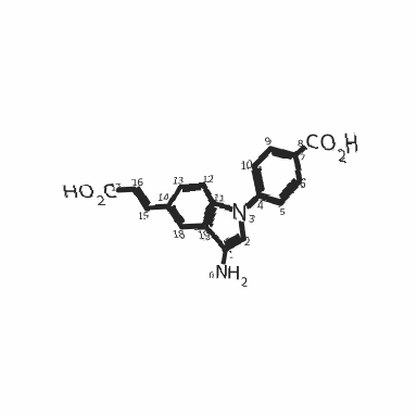 Nc1cn(-c2ccc(C(=O)O)cc2)c2ccc(/C=C/C(=O)O)cc12